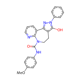 COc1ccc(NC(=O)N2CCc3c(nn(-c4ccccc4)c3O)-c3cccnc32)cc1